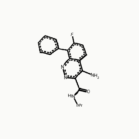 CCCNC(=O)c1nnc2c(-c3ccccc3)c(F)ccc2c1N